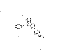 Nc1ncc(-c2ccc(-c3cccnc3[S+]([O-])CCN3CCOCC3)cc2F)cn1